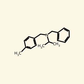 Cc1ccc(CN(Cc2ccccc2)C(C)C)cc1